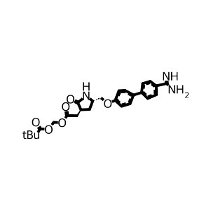 CC(C)(C)C(=O)OCOC(=O)C[C@@H]1C[C@@H](COc2ccc(-c3ccc(C(=N)N)cc3)cc2)NC1=O